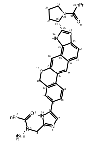 CCCC(=O)N(Cc1ncc(-c2ccc3c(c2)COc2cc4c(ccc5nc([C@@H]6CCCN6C(=O)CCC)[nH]c54)cc2-3)[nH]1)[C@@H](C)CC